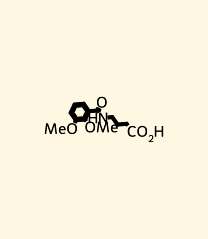 COc1cccc(C(=O)NCCCC(=O)O)c1OC